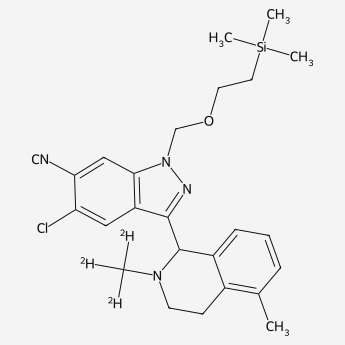 [2H]C([2H])([2H])N1CCc2c(C)cccc2C1c1nn(COCC[Si](C)(C)C)c2cc([N+]#[C-])c(Cl)cc12